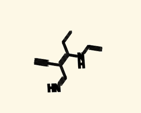 C#C/C(C=N)=C(\CC)NC=C